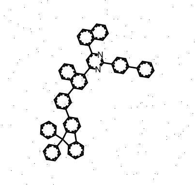 c1ccc(-c2ccc(-c3nc(-c4cccc5ccccc45)cc(-c4ccc(-c5cccc(-c6ccc7c(c6)C(c6ccccc6)(c6ccccc6)c6ccccc6-7)c5)c5ccccc45)n3)cc2)cc1